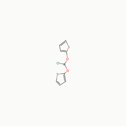 ClB(Oc1cccs1)Oc1cccs1